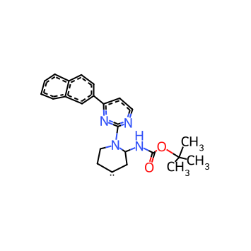 CC(C)(C)OC(=O)NC1C[C]CCN1c1nccc(-c2ccc3ccccc3c2)n1